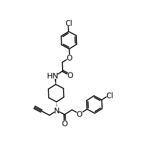 C#CCN(C(=O)COc1ccc(Cl)cc1)[C@H]1CC[C@H](NC(=O)COc2ccc(Cl)cc2)CC1